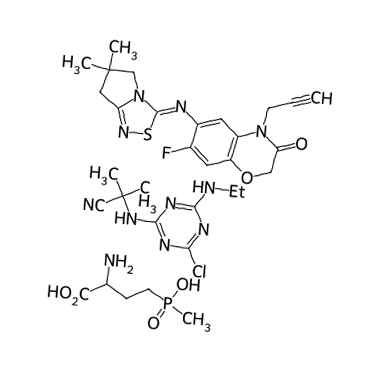 C#CCN1C(=O)COc2cc(F)c(/N=c3\snc4n3CC(C)(C)C4)cc21.CCNc1nc(Cl)nc(NC(C)(C)C#N)n1.CP(=O)(O)CCC(N)C(=O)O